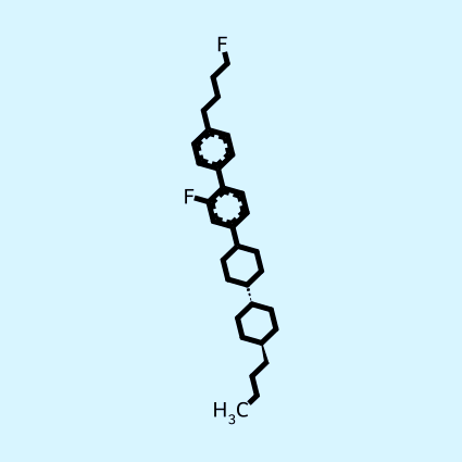 CCCC[C@H]1CC[C@H](C2CCC(c3ccc(-c4ccc(CCCCF)cc4)c(F)c3)CC2)CC1